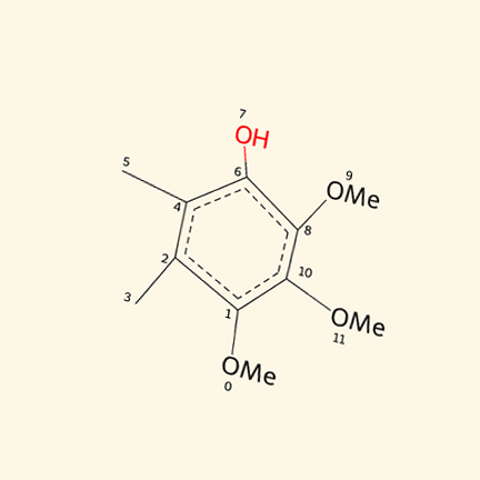 COc1c(C)c(C)c(O)c(OC)c1OC